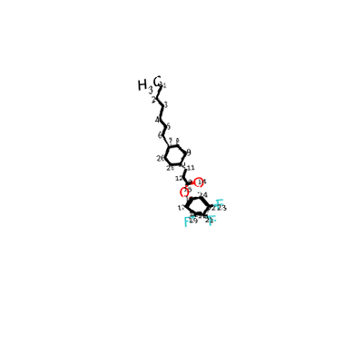 CCCCCCC[C@H]1CC[C@H](CCC(=O)Oc2cc(F)c(F)c(F)c2)CC1